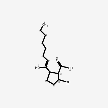 CCCCCCC=C(O)C1CCC(O)C1C(=O)O